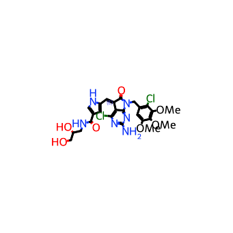 COc1cc(CN2C(=O)/C(=C/c3cc(C(=O)NCC(O)CO)c[nH]3)c3c(Cl)nc(N)nc32)c(Cl)c(OC)c1OC